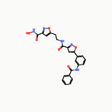 O=C(Nc1cccc(-c2cc(C(=O)NCCc3cc(C(=O)NO)no3)no2)c1)c1ccccc1